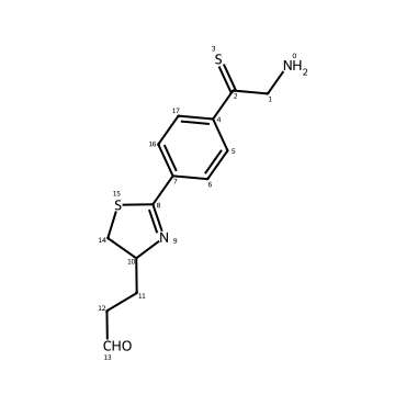 NCC(=S)c1ccc(C2=NC(CCC=O)CS2)cc1